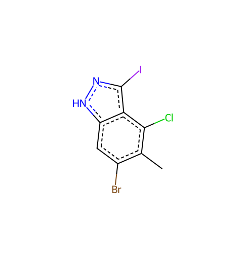 Cc1c(Br)cc2[nH]nc(I)c2c1Cl